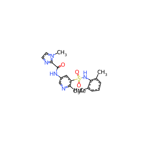 COc1ncc(NC(=O)c2nccn2C)cc1S(=O)(=O)Nc1c(C)cccc1C